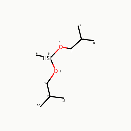 CC(C)CO[SiH](C)OCC(C)C